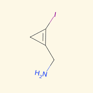 NCC1=C(I)C1